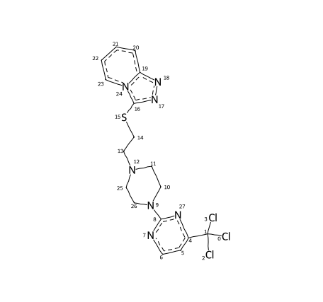 ClC(Cl)(Cl)c1ccnc(N2CCN(CCSc3nnc4ccccn34)CC2)n1